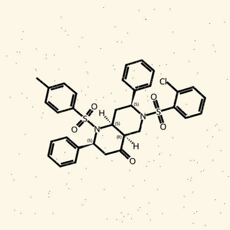 Cc1ccc(S(=O)(=O)N2[C@H](c3ccccc3)CC(=O)[C@@H]3CN(S(=O)(=O)c4ccccc4Cl)[C@H](c4ccccc4)C[C@@H]32)cc1